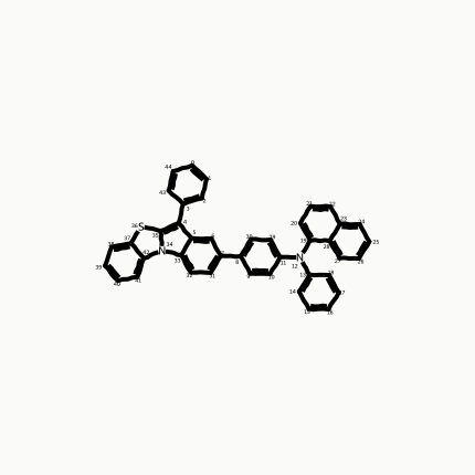 c1ccc(-c2c3cc(-c4ccc(N(c5ccccc5)c5cccc6ccccc56)cc4)ccc3n3c2sc2ccccc23)cc1